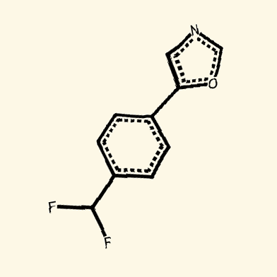 FC(F)c1ccc(-c2cnco2)cc1